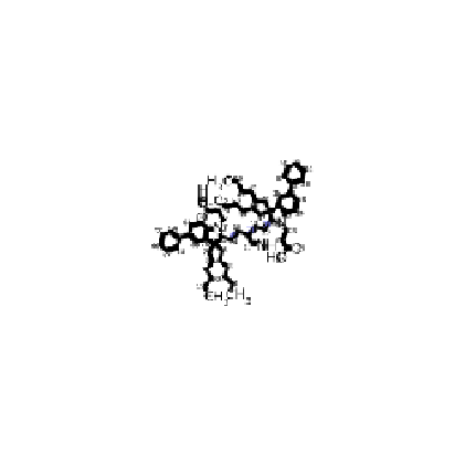 CCCCCCC1(CCCCCC)C(/C=C/C(C=N)=C/C=C2/N(CCC(=O)O)c3ccc(-c4ccccc4)cc3C2(CCCCCC)CCCCCC)=[N+](CCC(=O)O)c2ccc(-c3ccccc3)cc21